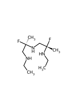 CCNC[C@@](C)(F)NC[C@](C)(F)NCC